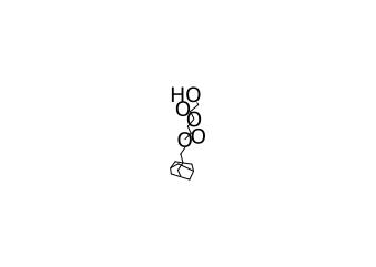 O=C(CO)OCC(=O)OCCC12CC3CC(CC(C3)C1)C2